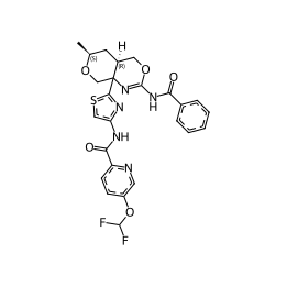 C[C@H]1C[C@H]2COC(NC(=O)c3ccccc3)=NC2(c2nc(NC(=O)c3ccc(OC(F)F)cn3)cs2)CO1